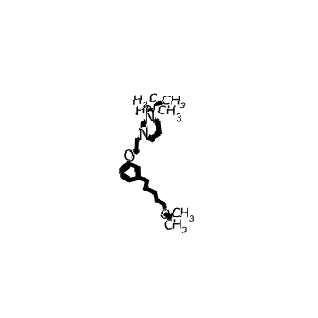 CC(C)OCCCCCc1cccc(OCCN2CCCN(NC(C)(C)C)C2)c1